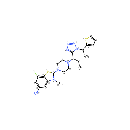 CCC(c1nnnn1C(C)c1cccs1)N1CCN(C2Sc3c(F)cc(N)cc3N2C)CC1